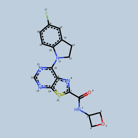 O=C(NC1COC1)c1nc2c(N3CCc4cc(F)ccc43)ncnc2s1